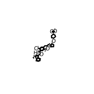 COC(=O)[C@H]1CC[C@H](OC[C@@H]2CCCN2CC(=O)Cc2cc(Cl)c(NC(=O)c3cn(C)c4ccccc34)cc2F)CC1